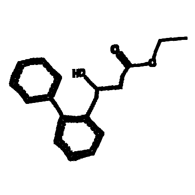 CCOC(=O)CC(O)c1ccccc1-c1ccccc1